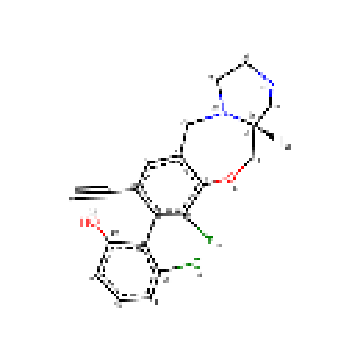 C#Cc1cc2c(c(F)c1-c1c(O)cccc1Cl)OC[C@H]1CNCCN1C2